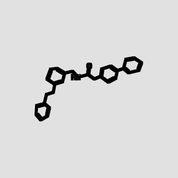 O=C(Cc1ccc(-c2ccccc2)cc1)NCc1cccc(CCc2ccccc2)c1